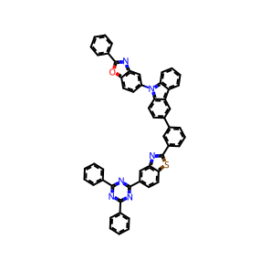 c1ccc(-c2nc(-c3ccccc3)nc(-c3ccc4sc(-c5cccc(-c6ccc7c(c6)c6ccccc6n7-c6ccc7oc(-c8ccccc8)nc7c6)c5)nc4c3)n2)cc1